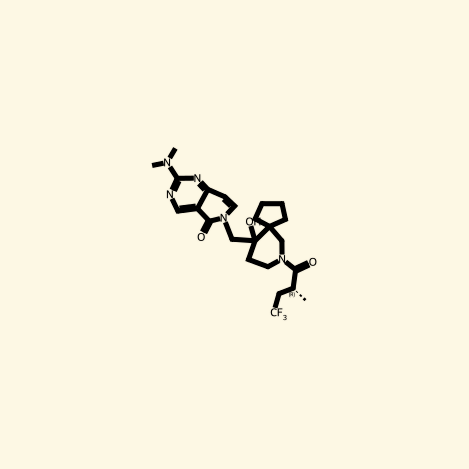 C[C@H](CC(F)(F)F)C(=O)N1CCC(O)(Cn2ccc3nc(N(C)C)ncc3c2=O)C2(CCCC2)C1